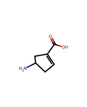 NC1CC=C(C(=O)O)C1